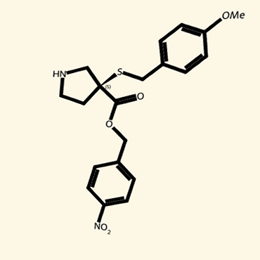 COc1ccc(CS[C@@]2(C(=O)OCc3ccc([N+](=O)[O-])cc3)CCNC2)cc1